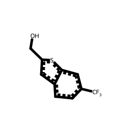 OCc1cc2ccc(C(F)(F)F)cc2s1